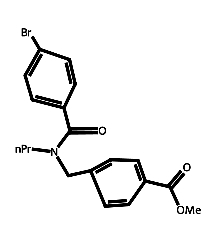 CCCN(Cc1ccc(C(=O)OC)cc1)C(=O)c1ccc(Br)cc1